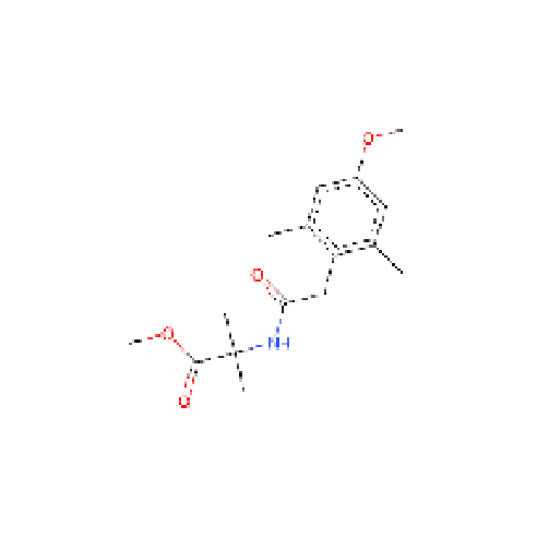 COC(=O)C(C)(C)NC(=O)Cc1c(C)cc(OC)cc1C